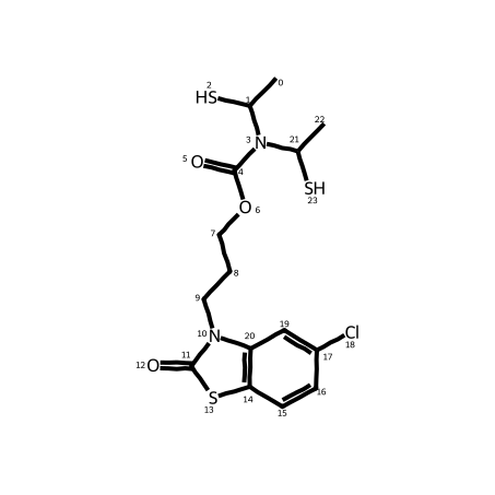 CC(S)N(C(=O)OCCCn1c(=O)sc2ccc(Cl)cc21)C(C)S